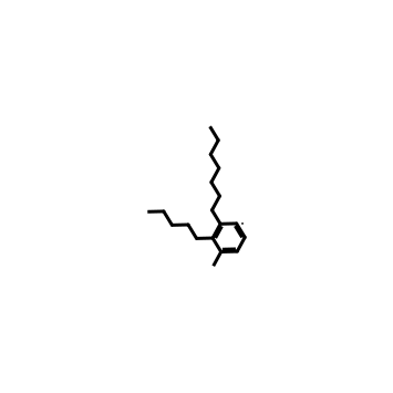 CCCCCCCc1[c]ccc(C)c1CCCCC